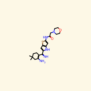 CC1(C)CCC(C(=N)c2cc3sc(NC(=O)CN4CCOCC4)cc3[nH]2)=C(N)C1